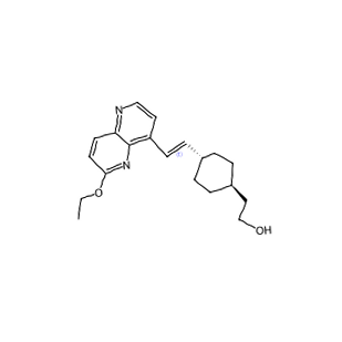 CCOc1ccc2nccc(/C=C/[C@H]3CC[C@H](CCO)CC3)c2n1